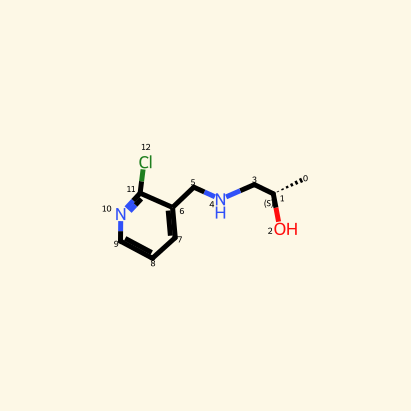 C[C@H](O)CNCc1cccnc1Cl